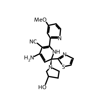 COc1ccnc(C2=C(C#N)C(N)=C[C@](c3nccs3)(N3CCC(O)C3)N2)c1